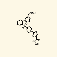 CNCc1cccc(-c2ccccc2S(=O)(=O)N2CCN(c3ncc(C(=O)NO)s3)CC2)c1